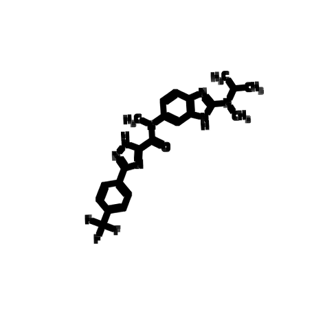 CC(C)N(C)c1nc2ccc(N(C)C(=O)c3nc(-c4ccc(C(F)(F)F)cc4)n[nH]3)cc2[nH]1